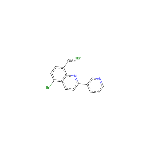 Br.COc1ccc(Br)c2ccc(-c3cccnc3)nc12